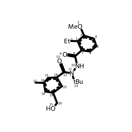 CCc1c(OC)cccc1C(=O)NN(C(=O)c1cc(C)cc(CO)c1)C(C)(C)C